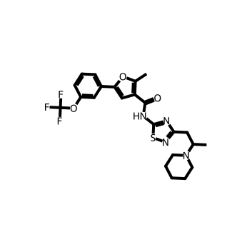 Cc1oc(-c2cccc(OC(F)(F)F)c2)cc1C(=O)Nc1nc(CC(C)N2CCCCC2)ns1